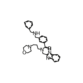 O=C(c1cccc(CNCc2ccccc2)c1)N(CCCN1CCOCC1)Cc1nc2ccccc2[nH]1